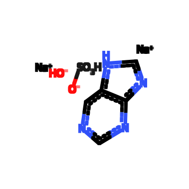 O=S(=O)([O-])O.[Na+].[Na+].[OH-].c1ncc2[nH]cnc2n1